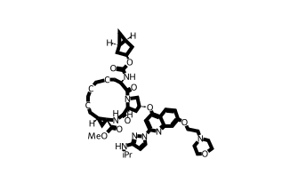 COC(=O)[C@@]12C[C@H]1CCCCCCC[C@H](NC(=O)O[C@@H]1C[C@@H]3C[C@@H]3C1)C(=O)N1C[C@H](Oc3cc(-n4ccc(NC(C)C)n4)nc4cc(OCCN5CCOCC5)ccc34)C[C@H]1C(=O)N2